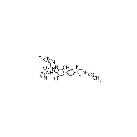 COCCN1CC[C@H](c2ccc(-c3cc(Cl)c4cn(C(C(=O)Nc5nccs5)c5ncn6c5C[C@@H](F)C6)nc4c3C)cc2)[C@@H](F)C1